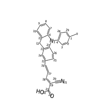 Cc1ccc(N2c3ccccc3Cc3cc(/C=C/C=C(\C#N)C(=O)O)ccc32)cc1